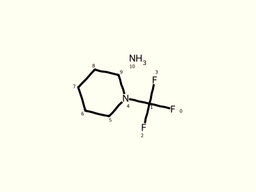 FC(F)(F)N1CCCCC1.N